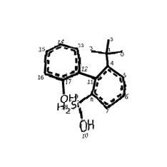 CC(C)(C)c1cccc([SiH2]O)c1-c1ccccc1O